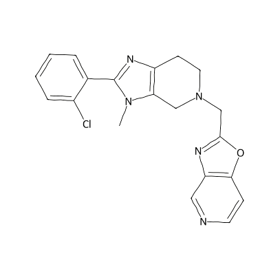 Cn1c(-c2ccccc2Cl)nc2c1CN(Cc1nc3cnccc3o1)CC2